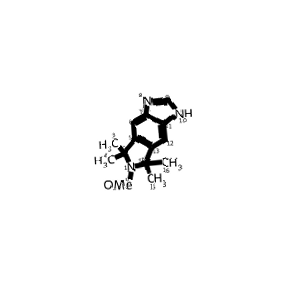 CON1C(C)(C)c2cc3nc[nH]c3cc2C1(C)C